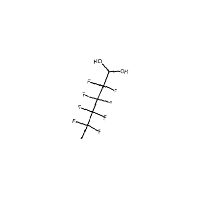 CC(F)(F)C(F)(F)C(F)(F)C(F)(F)C(O)O